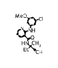 C#CC(C)(CC)NC(=O)c1cccnc1Nc1cc(Cl)cc(OC)c1